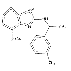 CC(=O)Nc1cccc2[nH]c(NC(C)c3cccc(C(F)(F)F)c3)nc12